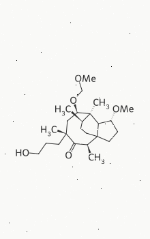 COCO[C@@H]1C[C@@](C)(CCCO)C(=O)[C@H](C)C23CC[C@@H](C)[C@]1(C)C2[C@H](OC)CC3